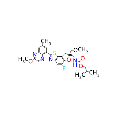 C=C=C[C@@]1(CNC(=O)OCC(C)C)Cc2c(c(F)cc3nc(-c4cc(C)cc5nc(OC)cnc45)sc23)O1